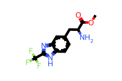 COC(=O)C(N)Cc1ccc2[nH]c(C(F)(F)F)nc2c1